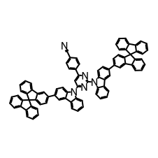 N#Cc1ccc(-c2cc(-n3c4ccccc4c4cc(-c5ccc6c(c5)-c5ccccc5C65c6ccccc6-c6ccccc65)ccc43)nc(-n3c4ccccc4c4cc(-c5ccc6c(c5)-c5ccccc5C65c6ccccc6-c6ccccc65)ccc43)n2)cc1